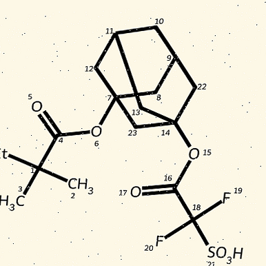 CCC(C)(C)C(=O)OC12CC3CC(C1)CC(OC(=O)C(F)(F)S(=O)(=O)O)(C3)C2